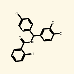 O=C(NC(c1ccc(Cl)c(Cl)c1)c1ccc(Cl)cn1)c1ccccc1Cl